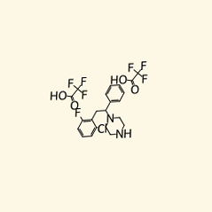 Fc1cccc(Cl)c1CC(c1ccccc1)N1CCNCC1.O=C(O)C(F)(F)F.O=C(O)C(F)(F)F